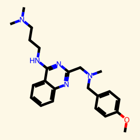 COc1ccc(CN(C)Cc2nc(NCCCN(C)C)c3ccccc3n2)cc1